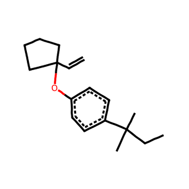 C=CC1(Oc2ccc(C(C)(C)CC)cc2)CCCC1